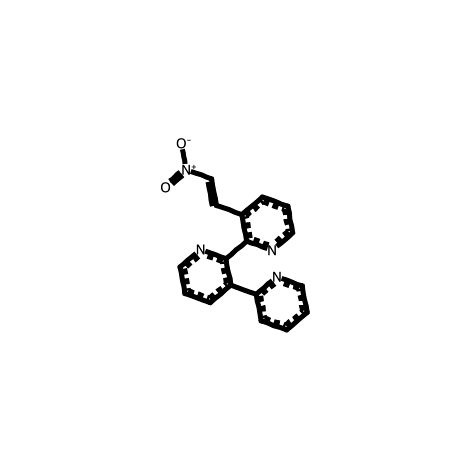 O=[N+]([O-])C=Cc1cccnc1-c1ncccc1-c1ccccn1